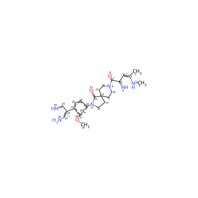 CN/C(C)=C\C(=N)C(=O)N1CCC2(CC1)CCN(c1ccc(/C(C=N)=C/N)c(OC)c1)C2=O